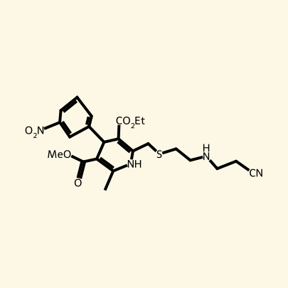 CCOC(=O)C1=C(CSCCNCCC#N)NC(C)=C(C(=O)OC)C1c1cccc([N+](=O)[O-])c1